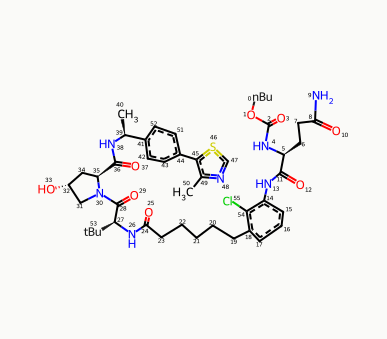 CCCCOC(=O)N[C@@H](CCC(N)=O)C(=O)Nc1cccc(CCCCCC(=O)N[C@H](C(=O)N2C[C@H](O)C[C@H]2C(=O)N[C@@H](C)c2ccc(-c3scnc3C)cc2)C(C)(C)C)c1Cl